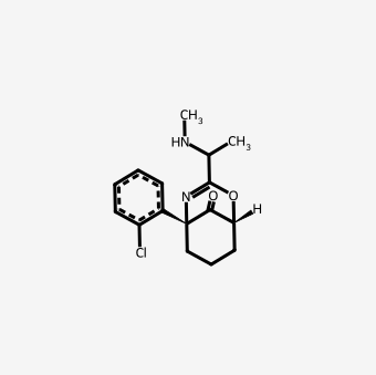 CNC(C)C1=N[C@@]2(c3ccccc3Cl)CCC[C@@H](O1)C2=O